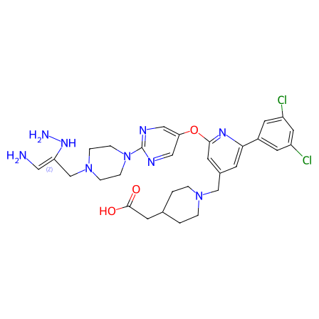 N/C=C(/CN1CCN(c2ncc(Oc3cc(CN4CCC(CC(=O)O)CC4)cc(-c4cc(Cl)cc(Cl)c4)n3)cn2)CC1)NN